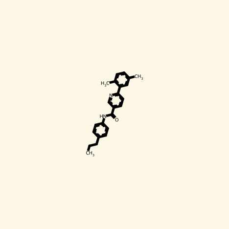 CCCc1ccc(NC(=O)c2ccc(-c3cc(C)ccc3C)nc2)cc1